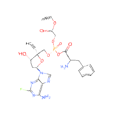 C#C[C@]1(CO[P@@](=O)(OCC(=O)OCCCCCCCCC)OC(=O)C(N)Cc2ccccc2)O[C@@H](n2cnc3c(N)nc(F)nc32)C[C@@H]1O